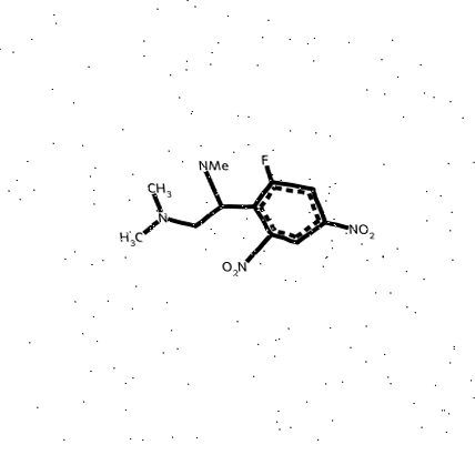 CNC(CN(C)C)c1c(F)cc([N+](=O)[O-])cc1[N+](=O)[O-]